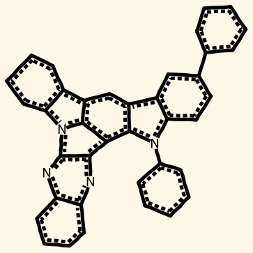 c1ccc(-c2ccc3c(c2)c2cc4c5ccccc5n5c6nc7ccccc7nc6c(c2n3-c2ccccc2)c45)cc1